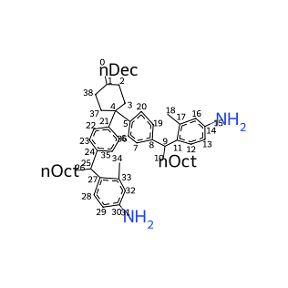 CCCCCCCCCCC1CCC(c2ccc(C(CCCCCCCC)c3ccc(N)cc3C)cc2)(c2ccc(C(CCCCCCCC)c3ccc(N)cc3C)cc2)CC1